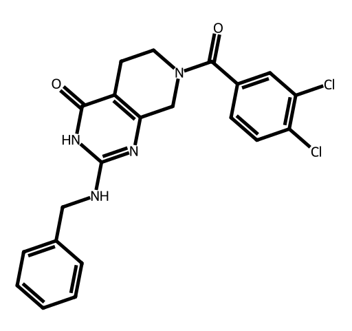 O=C(c1ccc(Cl)c(Cl)c1)N1CCc2c(nc(NCc3ccccc3)[nH]c2=O)C1